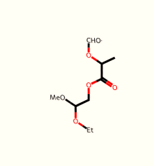 CCOC(COC(=O)C(C)O[C]=O)OC